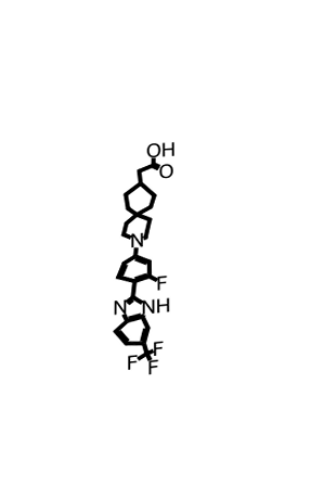 O=C(O)CC1CCC2(CC1)CCN(c1ccc(-c3nc4ccc(C(F)(F)F)cc4[nH]3)c(F)c1)CC2